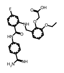 CCOc1cccc(CNc2cc(F)ccc2C(=O)Nc2ccc(C(=N)N)cc2)c1OCC(=O)O